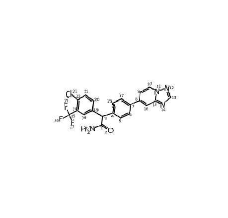 NC(=O)C(c1ccc(-c2ccn3ncnc3c2)cc1)c1ccc(Cl)c(C(F)(F)F)c1